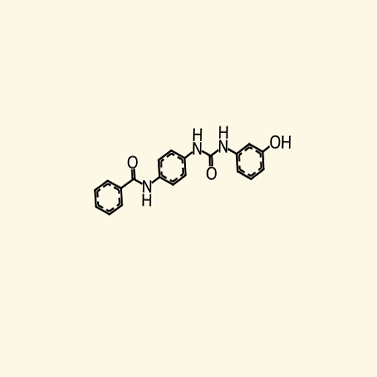 O=C(Nc1ccc(NC(=O)c2ccccc2)cc1)Nc1cccc(O)c1